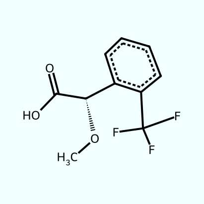 CO[C@H](C(=O)O)c1ccccc1C(F)(F)F